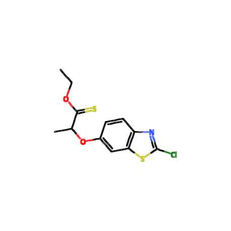 CCOC(=S)C(C)Oc1ccc2nc(Cl)sc2c1